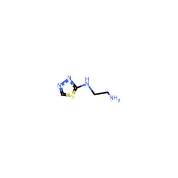 NCCNc1nncs1